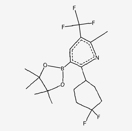 Cc1nc(C2CCC(F)(F)CC2)c(B2OC(C)(C)C(C)(C)O2)cc1C(F)(F)F